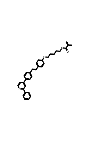 C=C(C)C(=O)OCCCCCOc1ccc(/C=C/c2ccc(-c3ccnc(-c4ccccc4)c3)cc2)cc1